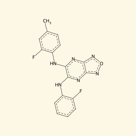 Cc1ccc(Nc2nc3nonc3nc2Nc2ccccc2F)c(F)c1